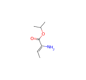 C/C=C(\N)C(=O)OC(C)C